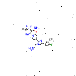 CN/C(N)=C(\C(=N)N1CCC(c2nc(-c3ccc(F)c(C(F)(F)F)c3)cn2CCN)CC1)C(N)=O